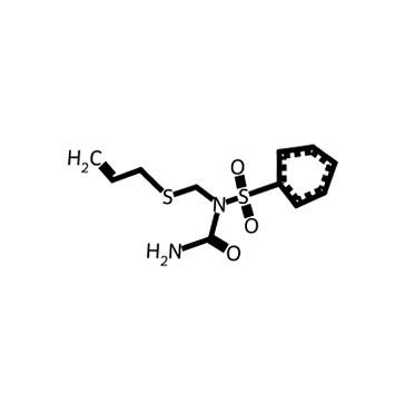 C=CCSCN(C(N)=O)S(=O)(=O)c1ccccc1